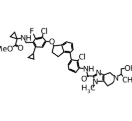 COC(=O)C1(NCc2c(C3CC3)cc(OC3CCc4c(-c5cccc(NC(=O)c6nc7c(n6C)CCN(C(C)CO)C7)c5Cl)cccc43)c(Cl)c2F)CC1